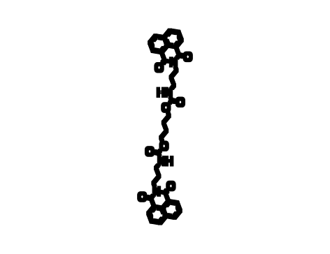 O=C(NCCCN1C(=O)c2cccc3cccc(c23)C1=O)OCCCCOC(=O)NCCCN1C(=O)c2cccc3cccc(c23)C1=O